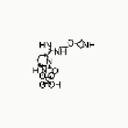 N=C(NCCOC1CNC1)[C@@H]1CC[C@@H]2CN1C(=O)N2OS(=O)(=O)O